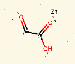 O=CC(=O)O.[Zn]